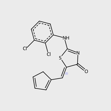 O=C1N=C(Nc2cccc(Cl)c2Cl)S/C1=C\C1=CC=CC1